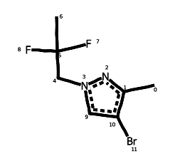 Cc1nn(CC(C)(F)F)cc1Br